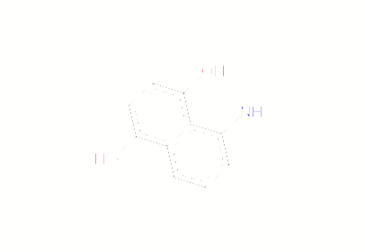 Nc1cccc2c(O)ccc(O)c12